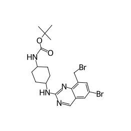 CC(C)(C)OC(=O)NC1CCC(Nc2ncc3cc(Br)cc(CBr)c3n2)CC1